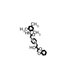 Cc1cc(C)c(NC(=O)CN2CCN(CC(O)C3COc4ccccc4O3)CC2)c(C)c1